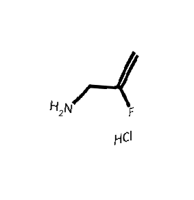 C=C(F)CN.Cl